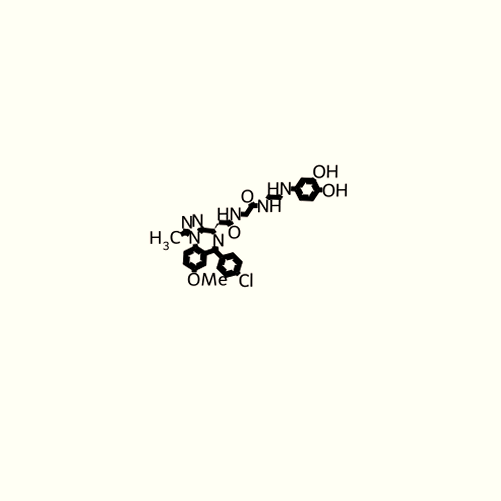 COc1ccc2c(c1)C(c1ccc(Cl)cc1)=N[C@@H](CC(=O)NCC(=O)NCCNc1ccc(O)c(O)c1)c1nnc(C)n1-2